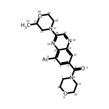 CC(=O)c1cc(C(=O)N2CCOCC2)cc2ncc(N3CCOC(C)C3)nc12